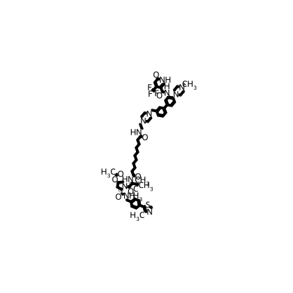 CC(=O)O[C@@H]1C[C@@H](C(=O)NCc2ccc(-c3scnc3C)cc2)N(C(=O)[C@@H](NC(=O)CCCCCCCCCC(=O)NCCN2CCN(Cc3cccc(-c4ccc(N5CCN(C)CC5)c(NC(=O)c5c[nH]c(=O)cc5C(F)(F)F)c4)c3)CC2)C(C)(C)C)C1